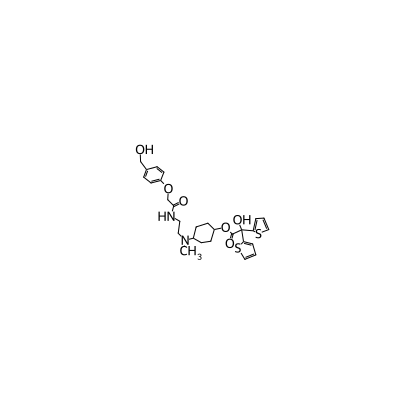 CN(CCNC(=O)COc1ccc(CO)cc1)C1CCC(OC(=O)C(O)(c2cccs2)c2cccs2)CC1